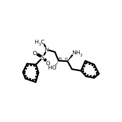 CN(C[C@@H](O)[C@@H](N)Cc1ccccc1)S(=O)(=O)c1ccccc1